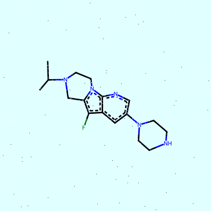 CC(C)N1CCn2c(c(F)c3cc(N4CCNCC4)cnc32)C1